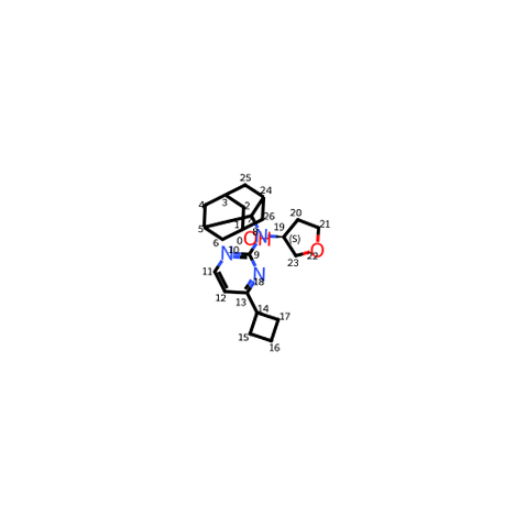 OC12CC3CC(C1)C(N(c1nccc(C4CCC4)n1)[C@H]1CCOC1)C(C3)C2